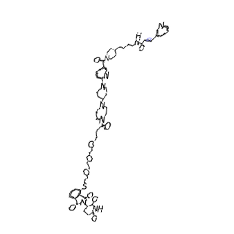 O=C(/C=C/c1cccnc1)NCCCCC1CCN(C(=O)c2ccc(N3CCC(N4CCN(C(=O)CCOCCOCCOCCSc5cccc6c5C(=O)N(C5CCC(=O)NC5=O)C6=O)CC4)CC3)nc2)CC1